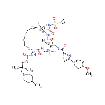 COc1ccc(-c2csc(C(=O)N3C[C@H]4CN5C(=O)[C@@H](NC(=O)OCC(C)(C)CN6CCC(C)CC6)CCCCC/C=C\[C@@H]6C[C@@]6(C(=O)NS(=O)(=O)C6CC6)NC(=O)[C@@H]5[C@H]4C3)n2)cc1